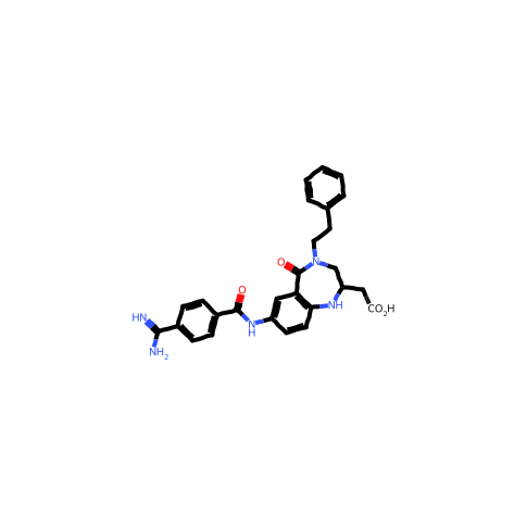 N=C(N)c1ccc(C(=O)Nc2ccc3c(c2)C(=O)N(CCc2ccccc2)CC(CC(=O)O)N3)cc1